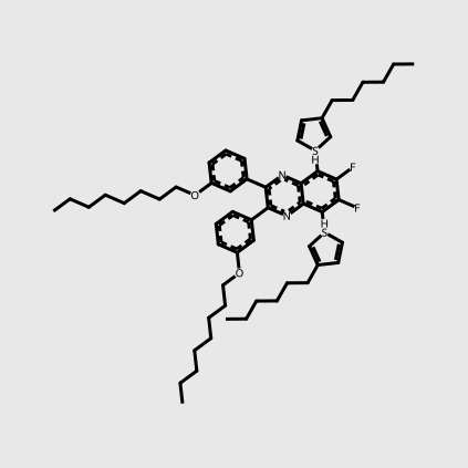 CCCCCCCCOc1cccc(-c2nc3c([SH]4C=CC(CCCCCC)=C4)c(F)c(F)c([SH]4C=CC(CCCCCC)=C4)c3nc2-c2cccc(OCCCCCCCC)c2)c1